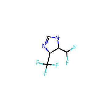 FC(F)C1[N][C]=NC1C(F)(F)F